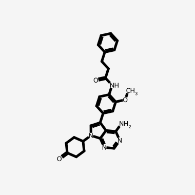 COc1cc(-c2cn(C3CCC(=O)CC3)c3ncnc(N)c23)ccc1NC(=O)CCc1ccccc1